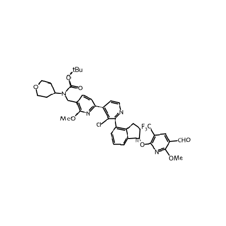 COc1nc(O[C@H]2CCc3c(-c4nccc(-c5ccc(CN(C(=O)OC(C)(C)C)C6CCOCC6)c(OC)n5)c4Cl)cccc32)c(C(F)(F)F)cc1C=O